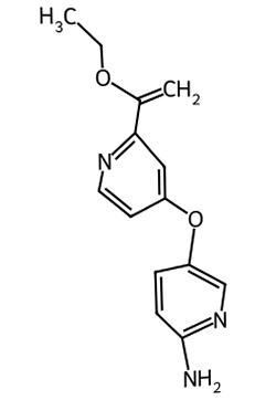 C=C(OCC)c1cc(Oc2ccc(N)nc2)ccn1